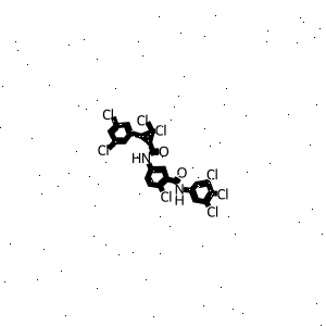 O=C(Nc1cc(Cl)c(Cl)c(Cl)c1)c1cc(NC(=O)C2C(c3cc(Cl)cc(Cl)c3)C2(Cl)Cl)ccc1Cl